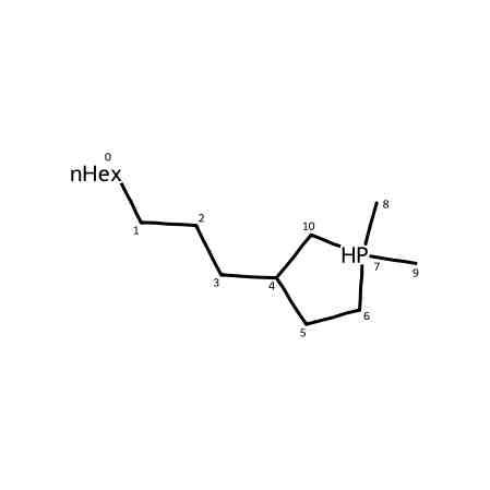 CCCCCCCCCC1CC[PH](C)(C)C1